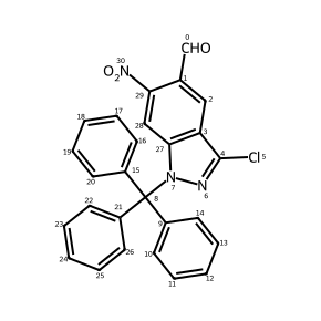 O=Cc1cc2c(Cl)nn(C(c3ccccc3)(c3ccccc3)c3ccccc3)c2cc1[N+](=O)[O-]